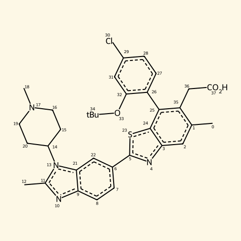 Cc1cc2nc(-c3ccc4nc(C)n(C5CCN(C)CC5)c4c3)sc2c(-c2ccc(Cl)cc2OC(C)(C)C)c1CC(=O)O